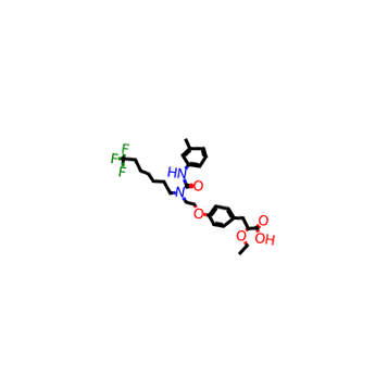 CCOC(Cc1ccc(OCCN(CCCCCCC(F)(F)F)C(=O)Nc2cccc(C)c2)cc1)C(=O)O